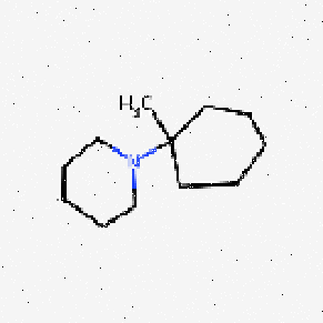 CC1(N2CC[CH]CC2)CCCCC1